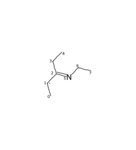 C[CH]C(CC)=NCC